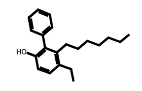 CCCCCCCc1c(CC)ccc(O)c1-c1ccccc1